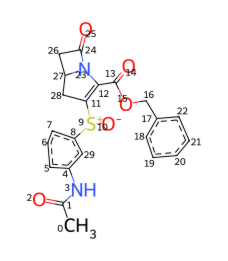 CC(=O)Nc1cccc([S+]([O-])C2=C(C(=O)OCc3ccccc3)N3C(=O)CC3C2)c1